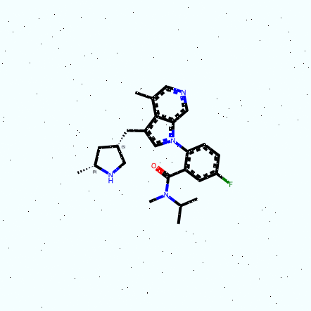 Cc1cncc2c1c(C[C@@H]1CN[C@H](C)C1)cn2-c1ccc(F)cc1C(=O)N(C)C(C)C